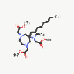 CCCCCCCCCCCCCCCCCC1(N(CC(C)=O)CC(=O)OC(C)(C)C)CN(CC(=O)OC(C)(C)C)CCN(CC(=O)OC(C)(C)C)C1